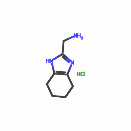 Cl.NCc1nc2c([nH]1)CCCC2